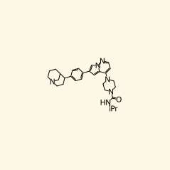 CC(C)NC(=O)N1CCN(c2ccnn3cc(-c4ccc(C5CCN6CCCC5C6)cc4)cc23)CC1